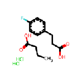 CCCC(=O)O.Cl.Cl.O=C(O)CCc1ccc(F)cc1